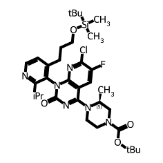 CC(C)c1nccc(CCCO[Si](C)(C)C(C)(C)C)c1-n1c(=O)nc(N2CCN(C(=O)OC(C)(C)C)C[C@@H]2C)c2cc(F)c(Cl)nc21